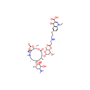 CC[C@@H]1OC(=O)[C@H](C)[C@H](O[C@@H]2C[C@](C)(OC)[C@H](OC(=O)CCNCCSc3ccc4c(c3)c(=O)c(C(=O)O)cn4CC)[C@H](C)O2)[C@@H](C)[C@H](O[C@@H]2O[C@H](C)C[C@H](N(C)C)[C@@H]2O)[C@](C)(O)C[C@H](C)CN(C)[C@@H](C)[C@@H]2OC(=O)O[C@@]12C